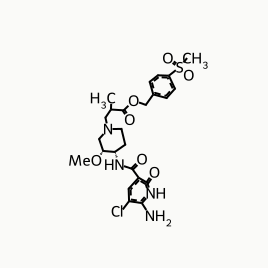 CO[C@@H]1CN(CC(C)C(=O)OCc2ccc(S(C)(=O)=O)cc2)CC[C@@H]1NC(=O)c1cc(Cl)c(N)[nH]c1=O